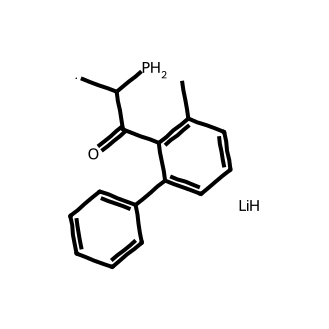 [CH2]C(P)C(=O)c1c(C)cccc1-c1ccccc1.[LiH]